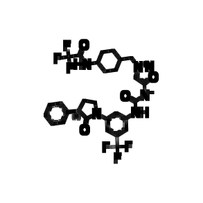 O=C([N-]c1c[n+](CC2CCC(NC(=O)C(F)(F)F)CC2)no1)Nc1cc(N2CC[C@H](c3ccccc3)C2=O)cc(C(F)(F)F)c1